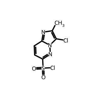 Cc1nc2ccc(S(=O)(=O)Cl)nn2c1Cl